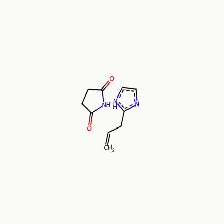 C=CCc1ncc[nH]1.O=C1CCC(=O)N1